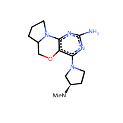 CN[C@@H]1CCN(c2nc(N)nc3c2OCC2CCCN32)C1